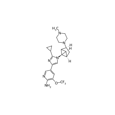 CN1CCN([C@H]2C[C@@H]3[C@@H]4C2[C@@]34n2cc(-c3cnc(N)c(OC(F)(F)F)c3)nc2C2CC2)CC1